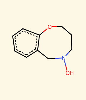 ON1CCCOc2ccccc2C1